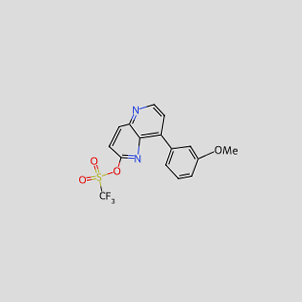 COc1cccc(-c2ccnc3ccc(OS(=O)(=O)C(F)(F)F)nc23)c1